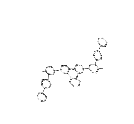 Cc1ccc(-c2ccc3c4ccc(-c5ccc(C)c(-c6ccc(-c7ccccc7)cc6)c5)cc4c4ccccc4c3c2)cc1-c1ccc(-c2ccccc2)cc1